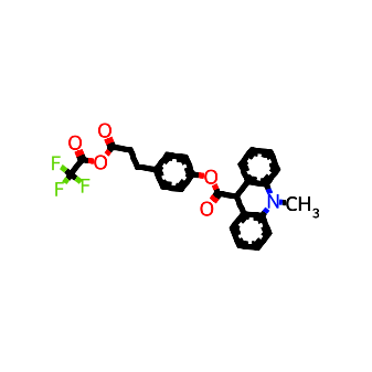 CN1c2ccccc2C(C(=O)Oc2ccc(CCC(=O)OC(=O)C(F)(F)F)cc2)c2ccccc21